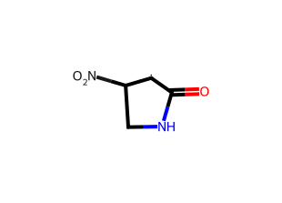 O=C1[CH]C([N+](=O)[O-])CN1